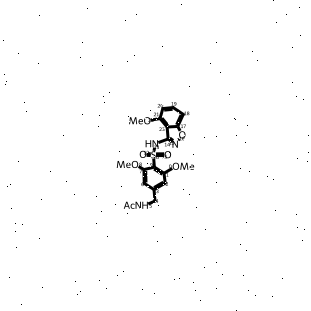 COc1cc(CNC(C)=O)cc(OC)c1S(=O)(=O)Nc1noc2cccc(OC)c12